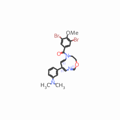 COc1c(Br)cc(C(=O)N2/C=C/C(c3cccc(N(C)C)c3)=C\N=C\OCC2)cc1Br